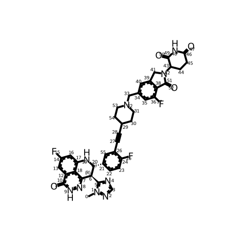 Cn1ncnc1[C@H]1c2n[nH]c(=O)c3cc(F)cc(c23)N[C@@H]1c1ccc(F)c(C#CC2CCN(Cc3cc(F)c4c(c3)CN(C3CCC(=O)NC3=O)C4=O)CC2)c1